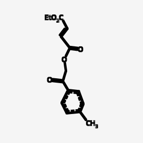 CCOC(=O)/C=C/C(=O)OCC(=O)c1ccc(C)cc1